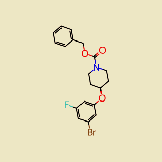 O=C(OCc1ccccc1)N1CCC(Oc2cc(F)cc(Br)c2)CC1